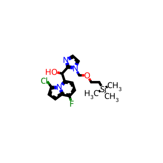 C[Si](C)(C)CCOCn1ccnc1C(O)c1ccc(F)c2ccc(Cl)n12